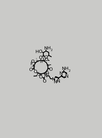 CC[C@H]1OC(=O)[C@@](C)(F)C(=O)[C@H](C)[C@@H](O[C@@H]2OC(C)CC(N)C2O)[C@](C)(OC)C[C@@H](C)C(=O)[C@H](C)[C@H]2N(CCn3cc(-c4cncc(N)n4)nn3)C(=O)O[C@]12C